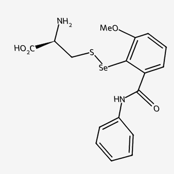 COc1cccc(C(=O)Nc2ccccc2)c1[Se]SC[C@H](N)C(=O)O